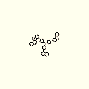 c1ccc2c(-c3ccc(N(c4ccc(-c5ccc6sc7ccccc7c6c5)cc4)c4ccc(-c5cccc6oc7c8ccccc8ccc7c56)cc4)cc3)cccc2c1